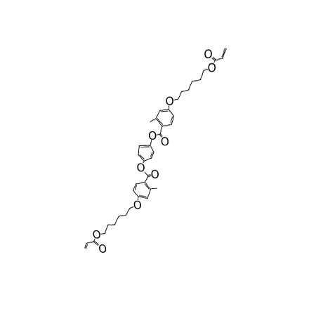 C=CC(=O)OCCCCCCOc1ccc(C(=O)Oc2ccc(OC(=O)c3ccc(OCCCCCCOC(=O)C=C)cc3C)cc2)c(C)c1